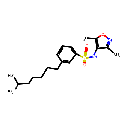 Cc1noc(C)c1NS(=O)(=O)c1cccc(CCCCCC(C)C(=O)O)c1